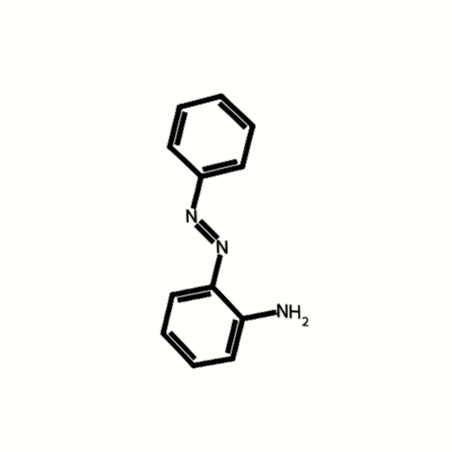 Nc1ccccc1N=Nc1ccccc1